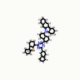 c1ccc2cc(-c3nc(-c4cccc5c(-n6c7ccccc7c7cc8ccccc8cc76)cccc45)nc(-c4cccc5c4sc4ccccc45)n3)ccc2c1